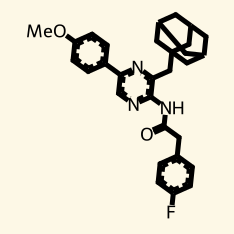 COc1ccc(-c2cnc(NC(=O)Cc3ccc(F)cc3)c(CC34CC5CC(CC(C5)C3)C4)n2)cc1